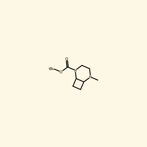 CN1CCN(C(=O)OC(C)(C)C)C2CCC21